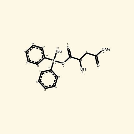 COC(=O)CC(O)C(=O)O[Si](c1ccccc1)(c1ccccc1)C(C)(C)C